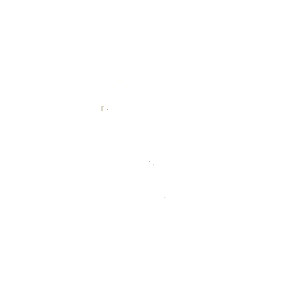 CC(c1c[nH]c2ccccc12)c1cc2cccc3c2n1C(=O)OC3(C)C